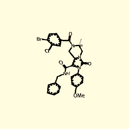 COc1ccc(-n2c(C(=O)NCc3ccccc3)c3n(c2=O)C[C@@H](C)N(C(=O)c2ccc(Br)c(Cl)c2)C3)cc1